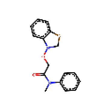 CN(C(=O)CON1CSc2ccccc21)c1ccccc1